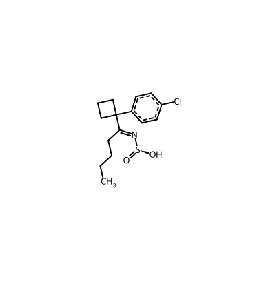 CCCCC(=N[S@](=O)O)C1(c2ccc(Cl)cc2)CCC1